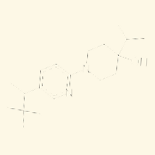 CC(c1ccc(N2CCC(O)(C(C)C)CC2)nc1)C(C)(C)C